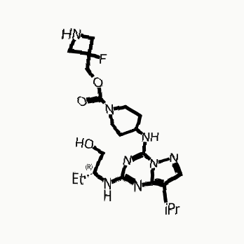 CC[C@H](CO)Nc1nc(NC2CCN(C(=O)OCC3(F)CNC3)CC2)n2ncc(C(C)C)c2n1